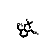 C=[C]c1cccc(C=C)c1OC(F)(F)F